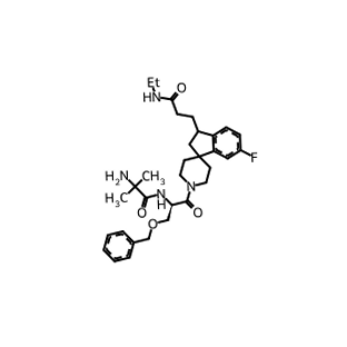 CCNC(=O)CCC1CC2(CCN(C(=O)[C@@H](COCc3ccccc3)NC(=O)C(C)(C)N)CC2)c2cc(F)ccc21